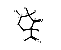 CC(=O)C1(C)CC[C@@H](C)C(C)(C)C1=O